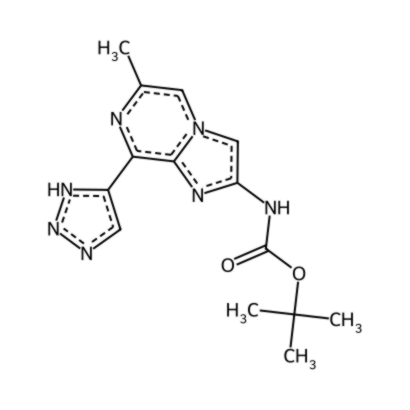 Cc1cn2cc(NC(=O)OC(C)(C)C)nc2c(-c2cnn[nH]2)n1